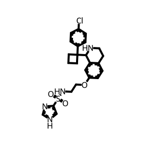 O=S(=O)(NCCOc1ccc2c(c1)C(C1(c3ccc(Cl)cc3)CCC1)NCC2)c1c[nH]cn1